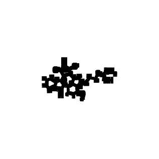 COc1cccc2c(C3=C(c4c[nH]c5ccccc45)C(=O)NC3=O)cn(CCCSC(=N)N)c12